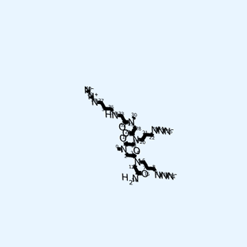 CN(CC(=O)N(CCCN=[N+]=[N-])CC(N)=O)C(=O)CN(CCCN=[N+]=[N-])C(=O)CN(C)C(=O)CNCCCN=[N+]=[N-]